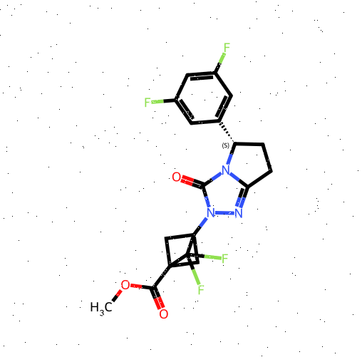 COC(=O)C12CC(n3nc4n(c3=O)[C@H](c3cc(F)cc(F)c3)CC4)(C1)C2(F)F